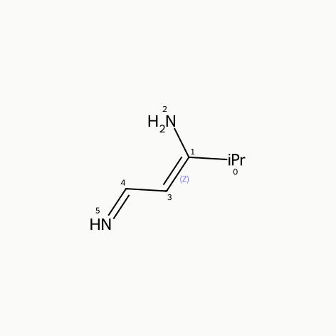 CC(C)/C(N)=C/C=N